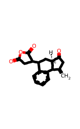 C=C1CC(=O)[C@@H]2CC(C3CC(=O)OC3=O)c3ccccc3C12